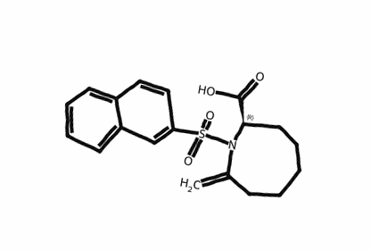 C=C1CCCCC[C@H](C(=O)O)N1S(=O)(=O)c1ccc2ccccc2c1